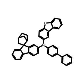 c1ccc(-c2ccc(N(c3ccc4c(c3)C3(CC5CCC3C5)c3ccccc3-4)c3ccc4oc5ccccc5c4c3)cc2)cc1